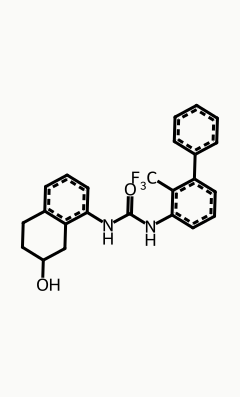 O=C(Nc1cccc2c1CC(O)CC2)Nc1cccc(-c2ccccc2)c1C(F)(F)F